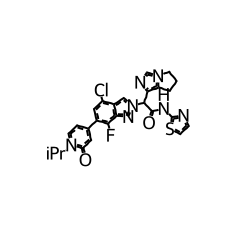 CC(C)n1ccc(-c2cc(Cl)c3cn(C(C(=O)Nc4nccs4)c4ncn5c4CCC5)nc3c2F)cc1=O